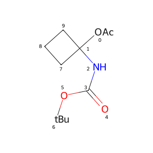 CC(=O)OC1(NC(=O)OC(C)(C)C)CCC1